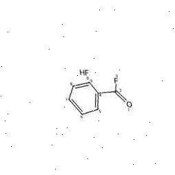 F.O=C(F)c1ccccc1